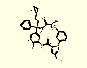 Cc1cccc(-n2nc(C)cc2C(=O)Nc2cc(C(CCC3CC3)(NC(=O)CC(C)C)c3cccnc3)ccc2F)c1